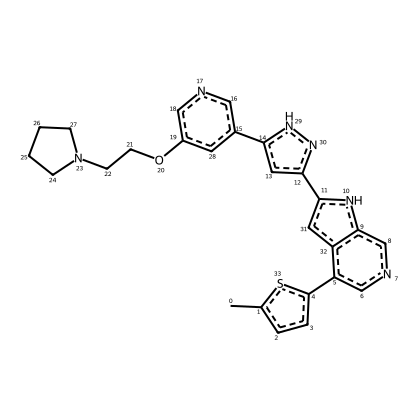 Cc1ccc(-c2cncc3[nH]c(-c4cc(-c5cncc(OCCN6CCCC6)c5)[nH]n4)cc23)s1